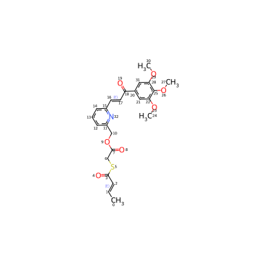 C/C=C/C(=O)SCC(=O)OCc1cccc(/C=C/C(=O)c2cc(OC)c(OC)c(OC)c2)n1